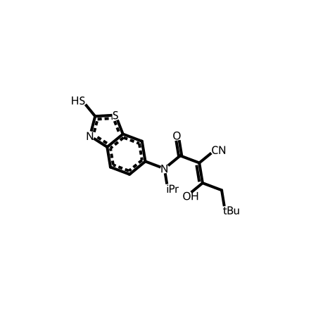 CC(C)N(C(=O)C(C#N)=C(O)CC(C)(C)C)c1ccc2nc(S)sc2c1